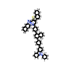 c1ccc(-n2c3ccccc3c3cc(-c4ccc(-c5ccc(-c6ccc(-c7cc8c9ccc%10ccccc%10c9sc8c8nc9cc%10ccccc%10cc9n78)cc6)c6ccccc56)cc4)ccc32)cc1